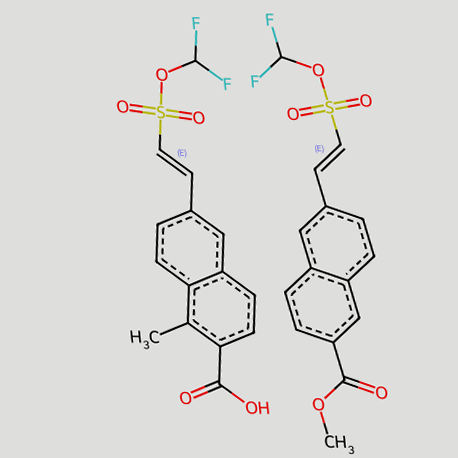 COC(=O)c1ccc2cc(/C=C/S(=O)(=O)OC(F)F)ccc2c1.Cc1c(C(=O)O)ccc2cc(/C=C/S(=O)(=O)OC(F)F)ccc12